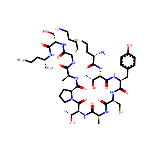 C[C@H](NC(=O)[C@H](CS)NC(=O)[C@H](Cc1ccc(O)cc1)NC(=O)[C@@H](NC(=O)[C@@H](N)CCC(=O)O)[C@@H](C)O)C(=O)N[C@H](C(=O)N1CCC[C@H]1C(=O)N[C@@H](C)C(=O)N[C@@H](CCCCN)C(=O)N[C@@H](CO)C(=O)N[C@@H](CCC(=O)O)C(=O)O)[C@@H](C)O